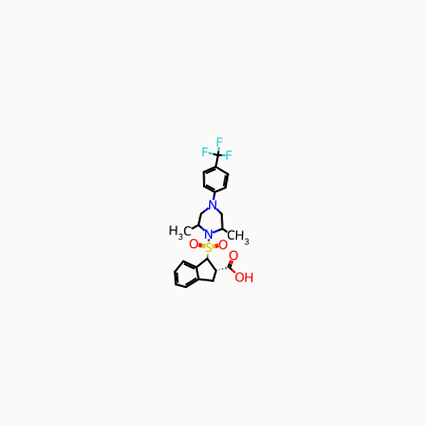 CC1CN(c2ccc(C(F)(F)F)cc2)CC(C)N1S(=O)(=O)[C@H]1c2ccccc2C[C@H]1C(=O)O